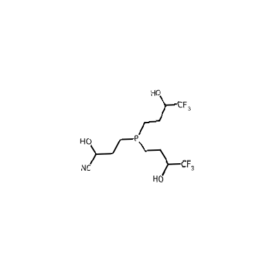 N#CC(O)CCP(CCC(O)C(F)(F)F)CCC(O)C(F)(F)F